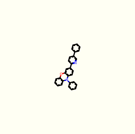 c1ccc(-c2ccc(-c3ccc4c(c3)Oc3ccccc3N4c3ccccc3)nc2)cc1